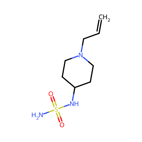 C=CCN1CCC(NS(N)(=O)=O)CC1